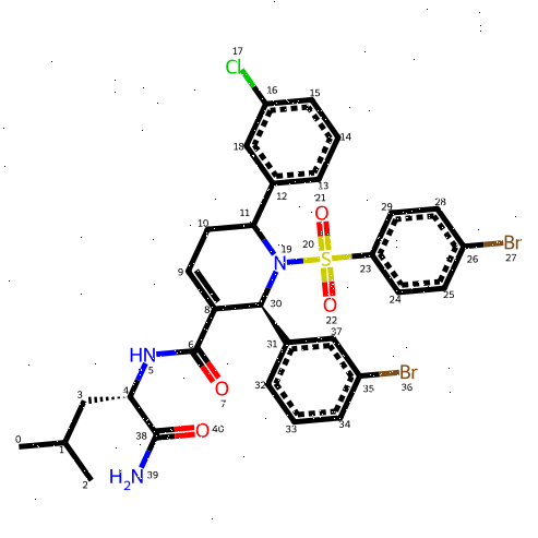 CC(C)C[C@H](NC(=O)C1=CCC(c2cccc(Cl)c2)N(S(=O)(=O)c2ccc(Br)cc2)[C@H]1c1cccc(Br)c1)C(N)=O